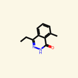 CCc1n[nH]c(=O)c2c(C)cccc12